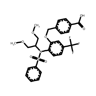 COCC(COC)N(c1ccc(C(F)(F)F)cc1OCc1ccc(C(=O)O)cc1)S(=O)(=O)c1ccccc1